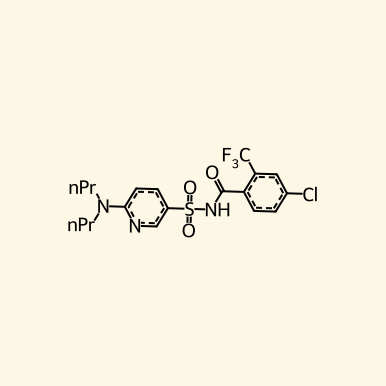 CCCN(CCC)c1ccc(S(=O)(=O)NC(=O)c2ccc(Cl)cc2C(F)(F)F)cn1